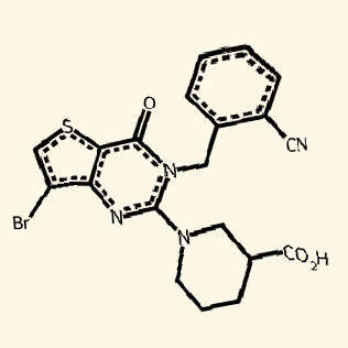 N#Cc1ccccc1Cn1c(N2CCCC(C(=O)O)C2)nc2c(Br)csc2c1=O